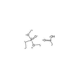 CC(=O)O.CCP(=O)(OC)OC